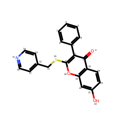 O=c1c(-c2ccccc2)c(SCc2ccncc2)oc2cc(O)ccc12